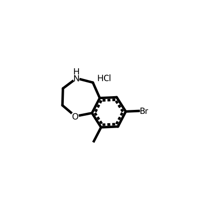 Cc1cc(Br)cc2c1OCCNC2.Cl